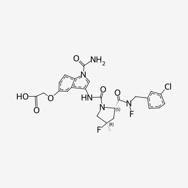 C[C@@]1(F)C[C@@H](C(=O)N(F)Cc2cccc(Cl)c2)N(C(=O)Nc2cn(C(N)=O)c3ccc(OCC(=O)O)cc23)C1